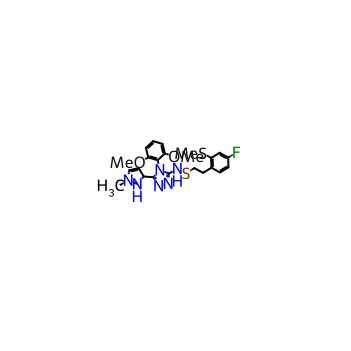 COc1cccc(OC)c1-n1c(NSCCc2ccc(F)cc2SC)nnc1C1C=CN(C)N1